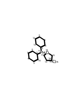 C1CCC(PC2CCCCC2)CC1.C1CCOC1.Cl